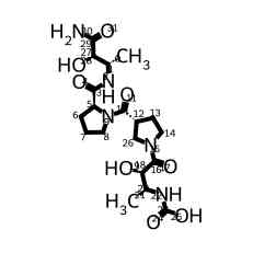 C[C@H](NC(=O)[C@@H]1CCCN1C(=O)[C@@H]1CCN(C(=O)[C@H](O)[C@H](C)NC(=O)O)C1)[C@@H](O)C(N)=O